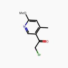 COc1cc(C)c(C(=O)CBr)cn1